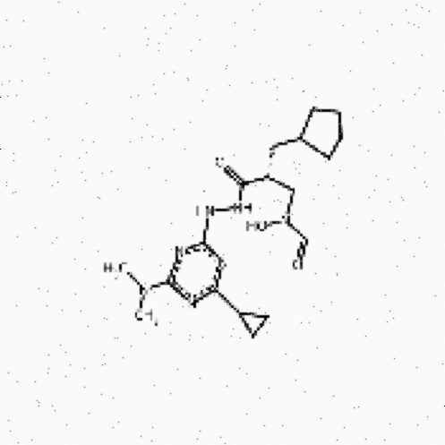 CN(C)c1nc(NNC(=O)[C@H](CC2CCCC2)CN(O)C=O)nc(C2CC2)n1